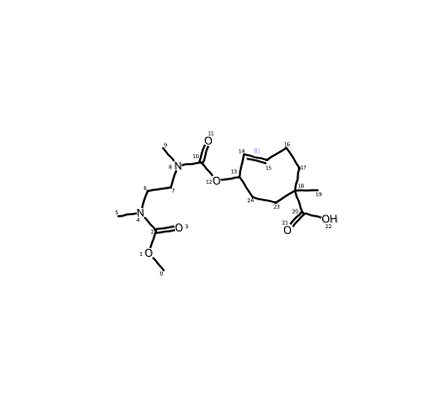 COC(=O)N(C)CCN(C)C(=O)OC1/C=C/CCC(C)(C(=O)O)CC1